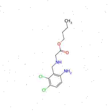 CCCCOC(=O)CNCc1c(N)ccc(Cl)c1Cl